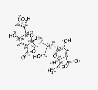 C[C@@H]1OC(=O)C2=C[C@@H](O)[C@@H](/C=C(\CO)C[C@@H]3OC(=O)C4=C[C@@H](O)[C@@H](/C=C/C(=O)O)O[C@@H]43)O[C@@H]21